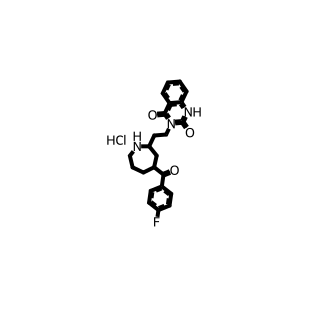 Cl.O=C(c1ccc(F)cc1)C1CCCNC(CCn2c(=O)[nH]c3ccccc3c2=O)C1